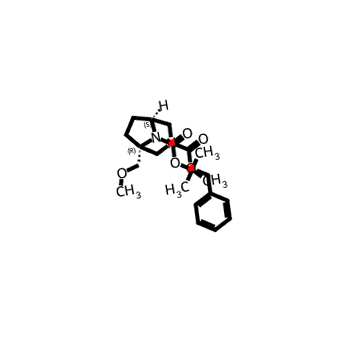 COC[C@@]12CC[C@@H](CN(C(=O)OCc3ccccc3)C1)N2C(=O)OC(C)(C)C